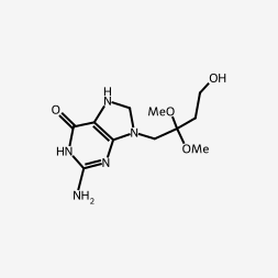 COC(CCO)(CN1CNc2c1nc(N)[nH]c2=O)OC